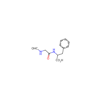 O=CNCC(=O)NC(Cc1ccccc1)C(=O)O